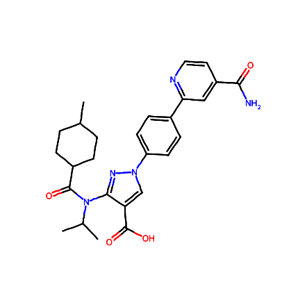 CC1CCC(C(=O)N(c2nn(-c3ccc(-c4cc(C(N)=O)ccn4)cc3)cc2C(=O)O)C(C)C)CC1